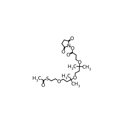 CC(=O)SCCOCCC(C)(C)OCCC(C)(C)OCCC(=O)ON1C(=O)CCC1=O